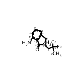 CC(C)(F)CN1Cc2cccc(N)c2C1=O